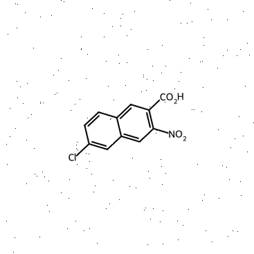 O=C(O)c1cc2ccc(Cl)cc2cc1[N+](=O)[O-]